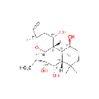 C=C[C@@]1(C)C[C@H](O)[C@@H]2[C@@]3(C)[C@@H](O)CCC(C)(C)[C@@H]3[C@H](O)[C@@](O)(CC(=O)O)[C@@]2(C)O1